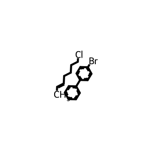 Brc1ccc(-c2ccccc2)cc1.CC=CCCCCCl